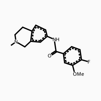 COc1cc(C(=O)Nc2ccc3c(c2)CN(C)CC3)ccc1F